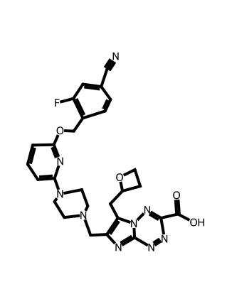 N#Cc1ccc(COc2cccc(N3CCN(Cc4nc5nnc(C(=O)O)nn5c4CC4CCO4)CC3)n2)c(F)c1